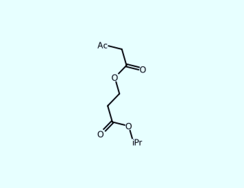 CC(=O)CC(=O)OCCC(=O)OC(C)C